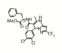 COC(=O)[C@@H](Cc1ccccc1)NC(=O)C1=C(C)Nc2cc(C(F)(F)F)nn2C1c1ccc(Cl)c(Cl)c1